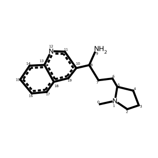 CN1CCCC1CCC(N)c1cnc2ccccc2c1